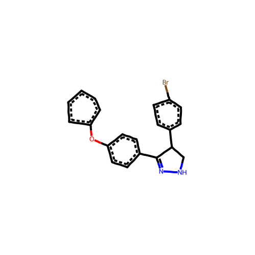 Brc1ccc(C2CNN=C2c2ccc(Oc3ccccc3)cc2)cc1